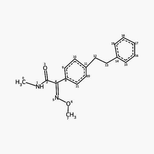 CNC(=O)/C(=N/OC)c1ccc(CCc2ccccc2)cc1